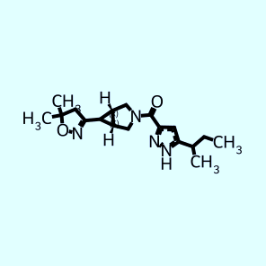 CCC(C)c1cc(C(=O)N2C[C@@H]3C(C4=NOC(C)(C)C4)[C@@H]3C2)n[nH]1